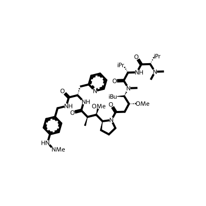 CC[C@H](C)[C@@H]([C@@H](CC(=O)N1CCC[C@H]1[C@H](OC)[C@@H](C)C(=O)N[C@@H](Cc1ccccn1)C(=O)NCc1ccc(NNC)cc1)OC)N(C)C(=O)[C@@H](NC(=O)[C@H](C(C)C)N(C)C)C(C)C